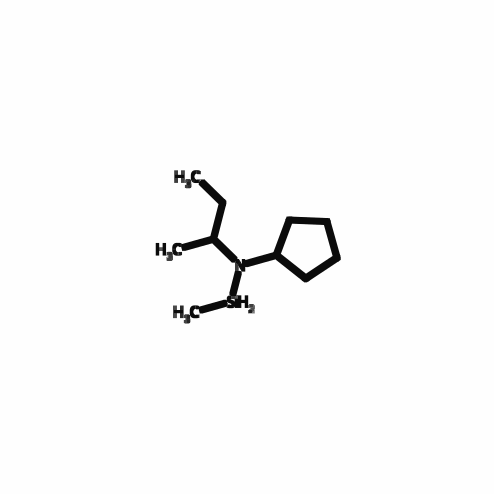 CCC(C)N([SiH2]C)C1CCCC1